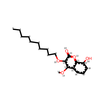 CCCCCCCCCCOc1c(OC)c2cccc(O)c2oc1=O